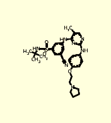 Cc1cnc(Nc2ccc(OCCN3CCCC3)cc2)nc1Nc1cc(C#N)cc(S(=O)(=O)NC(C)(C)C)c1